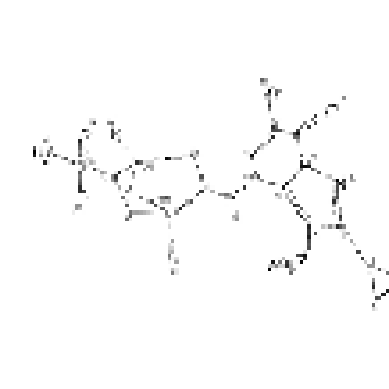 COc1c(C2CC2)nn2c(=O)c(C(C)C)cn(C[C@H]3C[C@H]4C[C@@H]3CN4S(N)(=O)=O)c12